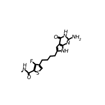 CNC(=O)c1scc(CCCCc2cc3c(=O)[nH]c(N)nc3[nH]2)c1F